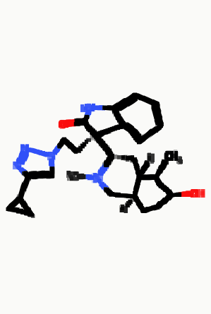 C[C@@H]1[C@H]2C[C@@H]([C@@]3(CCn4cc(C5CC5)nn4)C(=O)Nc4ccccc43)N(C#N)C[C@@H]2CC[C@@H]1O